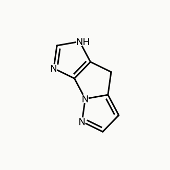 c1cc2n(n1)-c1nc[nH]c1C2